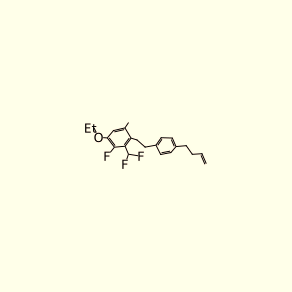 C=CCCc1ccc(CCc2c(C)cc(OCC)c(F)c2C(F)F)cc1